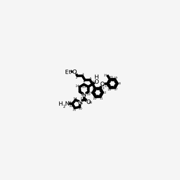 CCOCCCCC(O)(c1ccccc1Oc1ccccc1C)C1CCCN(C(=O)N2CCC(N)C2)C1